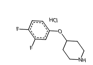 Cl.Fc1ccc(OC2CCNCC2)cc1F